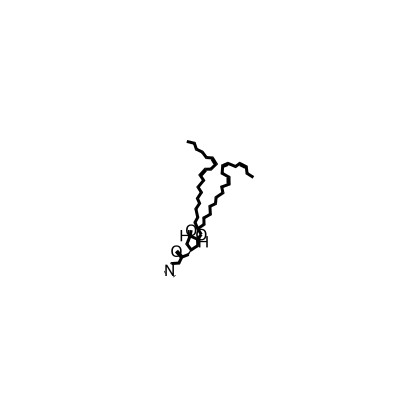 CC/C=C\C/C=C\C/C=C\CCCCCCCCC1(CCCCCCCC/C=C\C/C=C\CCCCC)O[C@H]2C[C@H](CC(=O)CCN(C)C)C[C@H]2O1